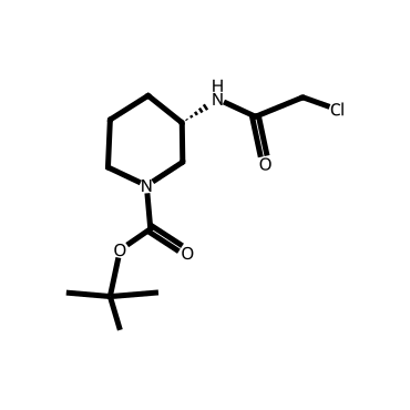 CC(C)(C)OC(=O)N1CCC[C@H](NC(=O)CCl)C1